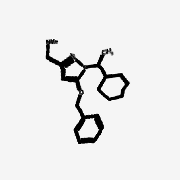 CNCc1cc(OCc2ccccc2)n(C(C)C2CCCCC2)n1